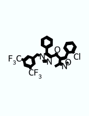 Cc1noc(-c2ccccc2Cl)c1C(=O)c1ncn(Cc2cc(C(F)(F)F)cc(C(F)(F)F)c2)c1-c1ccccc1